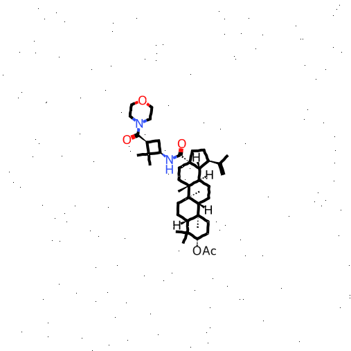 C=C(C)[C@@H]1CC[C@]2(C(=O)N[C@@H]3C[C@H](C(=O)N4CCOCC4)C3(C)C)CC[C@]3(C)[C@H](CC[C@@H]4[C@@]5(C)CC[C@H](OC(C)=O)C(C)(C)[C@@H]5CC[C@]43C)[C@@H]12